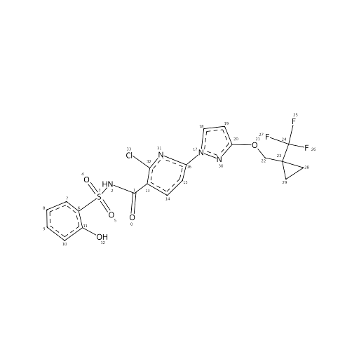 O=C(NS(=O)(=O)c1ccccc1O)c1ccc(-n2ccc(OCC3(C(F)(F)F)CC3)n2)nc1Cl